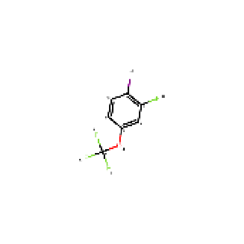 Fc1cc(OC(F)(F)F)ccc1I